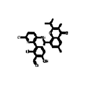 Cc1cc(C(C)Nc2ccc(Cl)nc2-c2ccc(O)c(C=O)c2Cl)c2oc(C(C)C)c(C)c(=O)c2c1